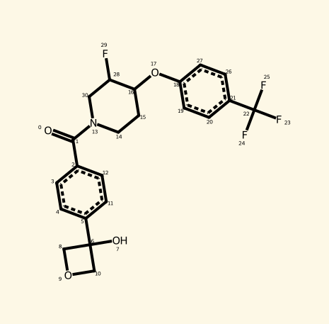 O=C(c1ccc(C2(O)COC2)cc1)N1CCC(Oc2ccc(C(F)(F)F)cc2)C(F)C1